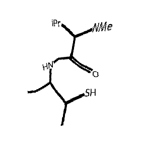 CNC(C(=O)NC(C)C(C)S)C(C)C